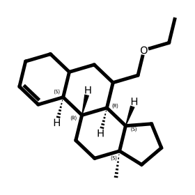 CCOCC1CC2CCC=C[C@@H]2[C@H]2CC[C@]3(C)CCC[C@H]3[C@H]12